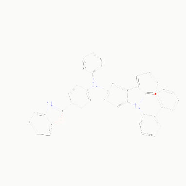 c1ccc(-c2ccccc2-n2c3ccccc3c3cc(N(c4ccccc4)c4ccc(-c5nc6ccccc6o5)cc4)ccc32)cc1